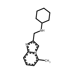 Cc1cccc2nc(CNC3CCCCC3)cn12